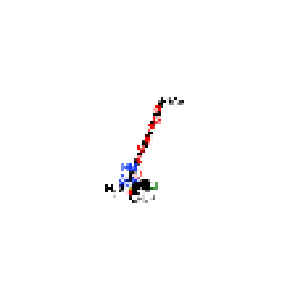 CNCCOCCOCCOCCOCCOCCOCCNC(=O)CC1N=C(c2ccc(Cl)cc2)c2c(sc(C)c2C)-n2c(C)nnc21